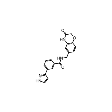 O=C1COc2ccc(CNC(=O)c3cccc(-c4cc[nH]n4)c3)cc2N1